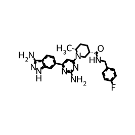 C[C@@H]1CC[C@H](C(=O)NCc2ccc(F)cc2)CN1c1cc(-c2ccc3c(N)n[nH]c3c2)nc(N)n1